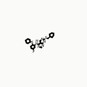 Fc1ccc(Sc2ccccc2)c(Nc2ncnc3nc(SCc4ccccc4)ncc23)c1